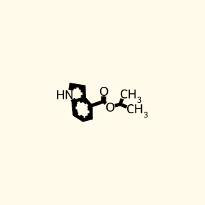 CC(C)OC(=O)c1cccc2[nH]ccc12